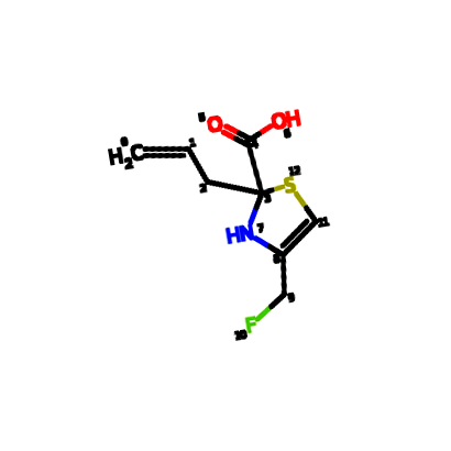 C=CCC1(C(=O)O)NC(CF)=CS1